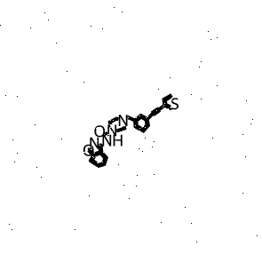 O=C(Nc1noc2ccccc12)N1CCN(Cc2cccc(C#Cc3ccsc3)c2)CC1